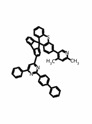 Cc1cc(C)c(-c2ccc3c(c2)Sc2ccccc2C32c3ccccc3-c3cc(-c4cc(-c5ccccc5)nc(-c5ccc(-c6ccccc6)cc5)n4)ccc32)cn1